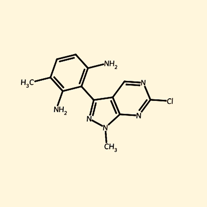 Cc1ccc(N)c(-c2nn(C)c3nc(Cl)ncc23)c1N